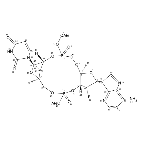 COOP1(=O)OC[C@H]2O[C@@H](n3cnc4c(N)ncnc43)[C@H](F)[C@@H]2OP(=O)(OC)OC[C@H]2O[C@@H](n3ccc(=O)[nH]c3=O)[C@H](O1)[C@@H]2F